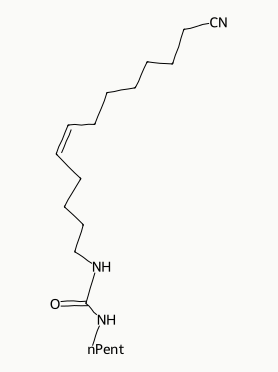 CCCCCNC(=O)NCCCC/C=C\CCCCCCC#N